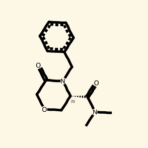 CN(C)C(=O)[C@@H]1COCC(=O)N1Cc1ccccc1